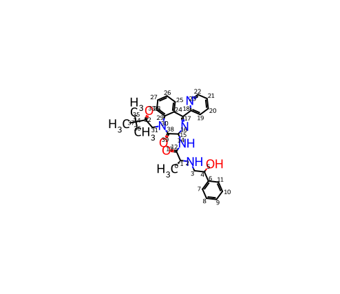 C[C@H](NCC(O)c1ccccc1)C(=O)NC1N=C(c2ccccn2)c2ccccc2N(CC(=O)C(C)(C)C)C1=O